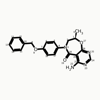 C[C@@H]1CN(c2ccc(OCc3ccccc3)cc2)C(=O)c2c(N)ncnc2O1